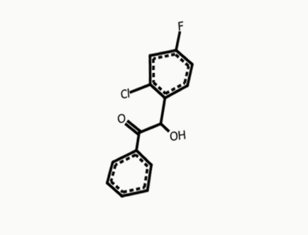 O=C(c1ccccc1)C(O)c1ccc(F)cc1Cl